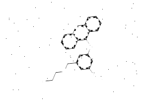 Nc1cc(COCCBr)cc(Nc2c3ccccc3nc3ccccc23)c1